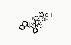 O[C@@H]1[C@H](O)CS[C@H]1n1cnc2c(NC(Cc3cccc4ccccc34)c3ccccc3)nc(Cl)nc21